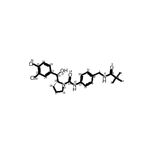 CC(C)(C)C(=O)NCc1ccc(NC(=O)N2CCC[C@@H]2[C@H](O)c2ccc(Cl)c(Cl)c2)cc1